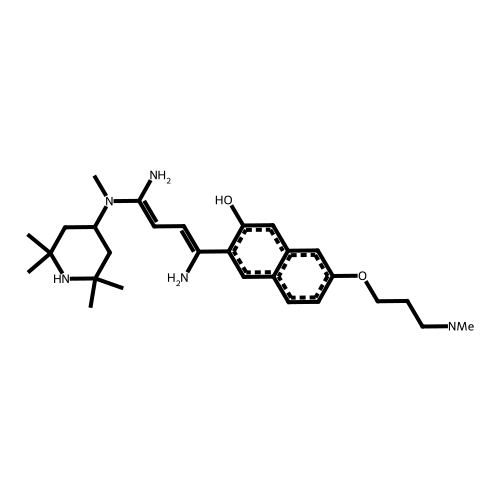 CNCCCOc1ccc2cc(/C(N)=C/C=C(\N)N(C)C3CC(C)(C)NC(C)(C)C3)c(O)cc2c1